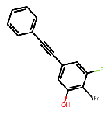 CC(C)c1c(O)cc(C#Cc2ccccc2)cc1F